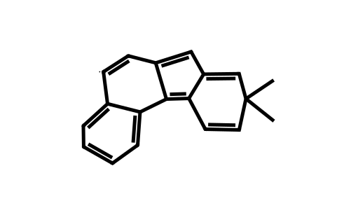 CC1(C)C=CC2=c3c(c[c]c4ccccc34)=CC2=C1